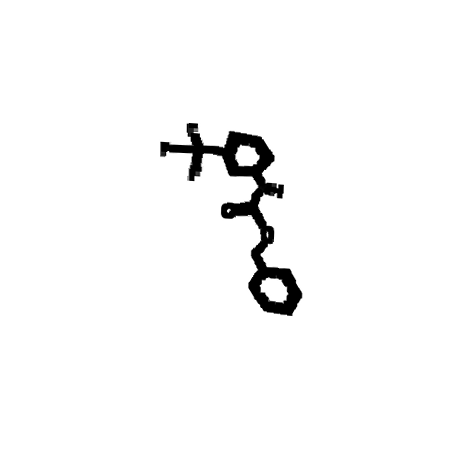 O=C(Nc1cccc(C(F)(F)F)c1)OCc1ccccc1